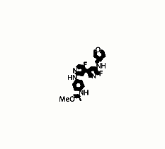 COC[C@H](C)N[C@H]1CC[C@H](Nc2cc(-c3cnc(F)c(NCC4(C)CCOCC4)c3)c(F)cn2)CC1